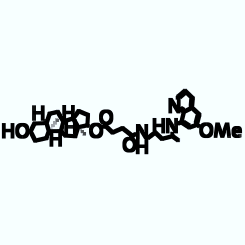 COc1cc(NC(C)CCCNC(=O)CCC(=O)O[C@H]2CC[C@H]3[C@@H]4CC[C@H]5C[C@H](O)CC[C@]5(C)[C@H]4CC[C@]23C)c2ncccc2c1